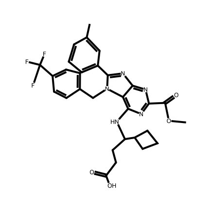 COC(=O)c1nc(NC(CCC(=O)O)C2CCC2)c2c(n1)nc(-c1cccc(C)c1)n2Cc1ccc(C(F)(F)F)cc1